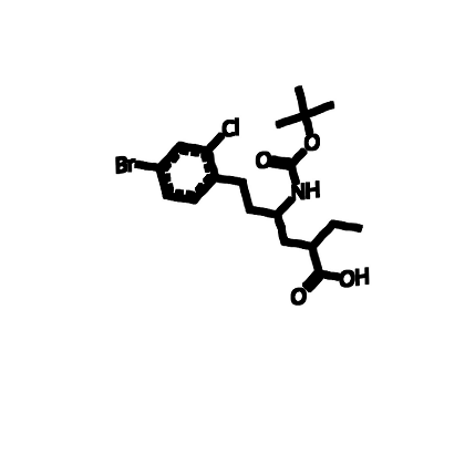 CCC(CC(CCc1ccc(Br)cc1Cl)NC(=O)OC(C)(C)C)C(=O)O